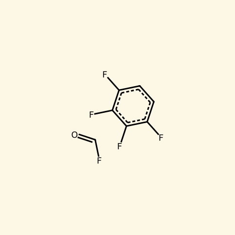 Fc1ccc(F)c(F)c1F.O=CF